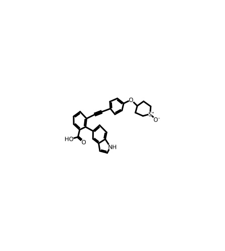 O=C(O)c1cccc(C#Cc2ccc(OC3CC[S+]([O-])CC3)cc2)c1-c1ccc2[nH]ccc2c1